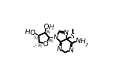 CSC12N=CN([C@@H]3O[C@H](C)[C@@H](O)[C@H]3O)C1=NCN=C2N